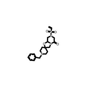 C=CS(=O)(=O)N1CC(=O)N2CC3(CCN(Cc4ccccc4)CC3)OC2C1